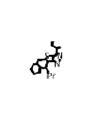 C=CC(=C)c1ncnc2c1sc1cc3ccccc3c(CC(C)C)c12